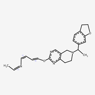 C\C=N/C=C\C=C\Oc1ncc2c(n1)CCN(C(C)c1ccc3c(c1)OCC3)C2